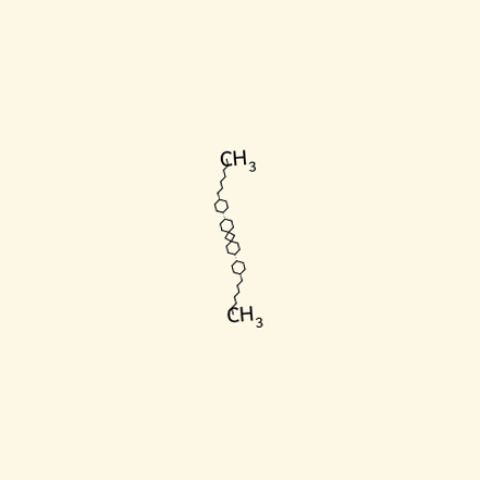 CCCCCCC[C@H]1CC[C@H](C2CCC3(CC2)CC2(CCC([C@H]4CC[C@H](CCCCCCC)CC4)CC2)C3)CC1